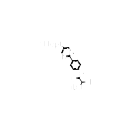 CCCCCCCc1cnc(-c2ccc(OC(=O)C(Cl)C(C)CC)cc2)nc1